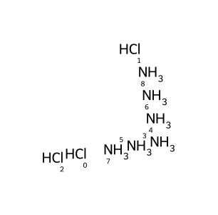 Cl.Cl.Cl.N.N.N.N.N.N